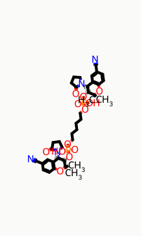 CC1(C)Oc2ccc(C#N)cc2[C@@H](N2CCCC2=O)[C@@H]1OP(=O)(O)OCCCCCCOP(=O)(O)O[C@H]1[C@H](N2CCCC2=O)c2cc(C#N)ccc2OC1(C)C